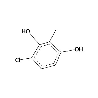 Cc1c(O)ccc(Cl)c1O